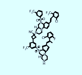 C/C(=C\c1ccc2c(c1)N(S(=O)(=O)c1cc(C3CC(C#N)(N4CCN5c6ccc(/C=C/c7c(Cl)cccc7C(F)(F)F)cc6N(S(=O)(=O)c6cccc(C(F)(F)F)c6)C[C@@H]5C4)C3)cc(C(F)(F)F)c1)C[C@@H]1CNCCN21)c1c(F)cccc1Cl